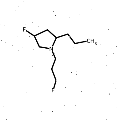 CCCC1CC(F)CN1CCCF